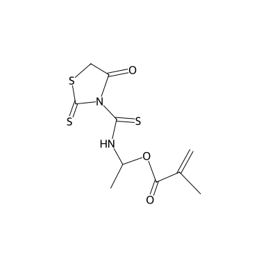 C=C(C)C(=O)OC(C)NC(=S)N1C(=O)CSC1=S